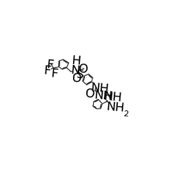 N=C(N)c1ccccc1NC(=O)Nc1ccc(S(=O)(=O)NCc2cccc(C(F)(F)F)c2)cc1